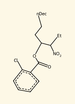 CCCCCCCCCCCCC(OC(=O)c1ccccc1Cl)C(CC)[N+](=O)[O-]